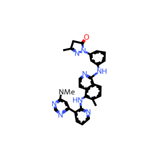 CNc1cc(-c2cccnc2Nc2c(C)ccc3c(Nc4cccc(N5N=C(C)CC5=O)c4)nccc23)ncn1